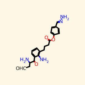 NN=Cc1ccc(OC(=O)CCCc2cccc(C(=O)C(N)CC=O)c2N)cc1